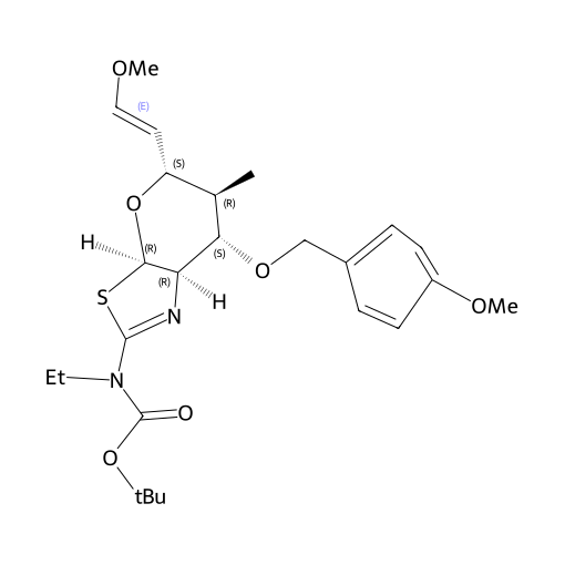 CCN(C(=O)OC(C)(C)C)C1=N[C@@H]2[C@@H](OCc3ccc(OC)cc3)[C@H](C)[C@@H](/C=C/OC)O[C@@H]2S1